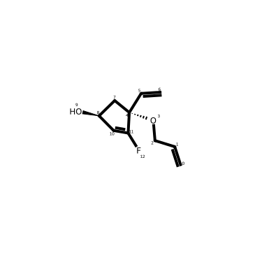 C=CCO[C@@]1(C=C)C[C@H](O)C=C1F